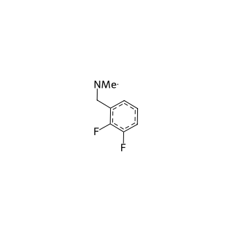 C[N]Cc1cccc(F)c1F